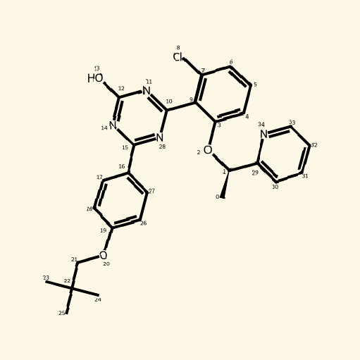 C[C@@H](Oc1cccc(Cl)c1-c1nc(O)nc(-c2ccc(OCC(C)(C)C)cc2)n1)c1ccccn1